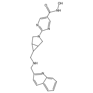 O=C(NO)c1cnc(N2CC3C(CNCc4ccc5ccccc5n4)C3C2)nc1